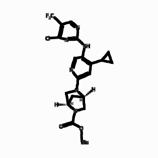 CC(C)(C)OC(=O)N1C[C@H]2C[C@@H]1CN2c1cc(C2CC2)c(Nc2ncc(C(F)(F)F)c(Cl)n2)cn1